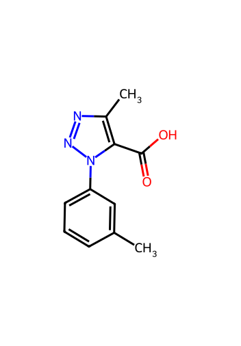 Cc1cccc(-n2nnc(C)c2C(=O)O)c1